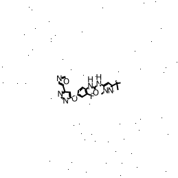 Cn1nc(C(C)(C)C)cc1NC(=O)Nc1ccc(Oc2cc(-c3cnco3)ncn2)cc1F